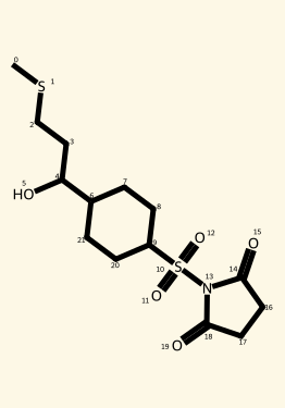 CSCCC(O)C1CCC(S(=O)(=O)N2C(=O)CCC2=O)CC1